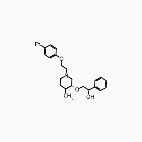 CCc1ccc(OCCN2CCC(C)[C@@H](OC[C@H](O)c3ccccc3)C2)cc1